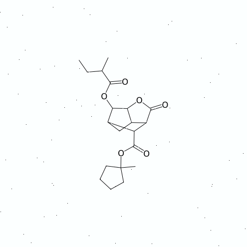 CCC(C)C(=O)OC1C2CC3C1OC(=O)C3C2C(=O)OC1(C)CCCC1